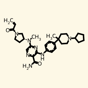 C=CC(=O)N1CC[C@@H](N(C)c2cnc(C(N)=O)c(Nc3ccc(C4(C)CCN(C5CCCC5)CC4)cc3)n2)C1